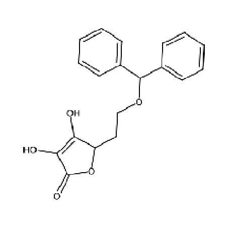 O=C1OC(CCOC(c2ccccc2)c2ccccc2)C(O)=C1O